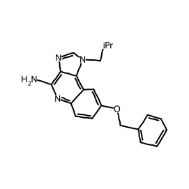 CC(C)Cn1cnc2c(N)nc3ccc(OCc4ccccc4)cc3c21